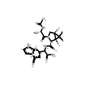 CC(C)(C)[C@H](NC(=O)C(F)(F)F)C(=O)N1C[C@H]2[C@@H]([C@H]1C(=O)NC(C(N)=O)c1cc(=O)n3cc[nH]c3n1)C2(C)C